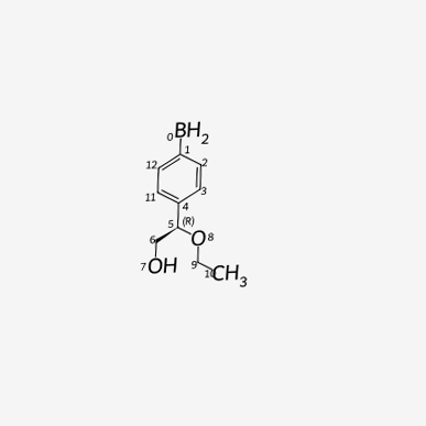 Bc1ccc([C@H](CO)OCC)cc1